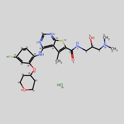 Cc1c(C(=O)NCC(O)CN(C)C)sc2ncnc(Nc3ccc(F)cc3OC3CCOCC3)c12.Cl